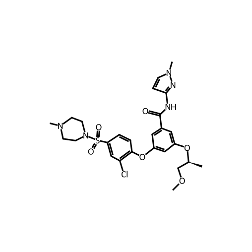 COC[C@H](C)Oc1cc(Oc2ccc(S(=O)(=O)N3CCN(C)CC3)cc2Cl)cc(C(=O)Nc2ccn(C)n2)c1